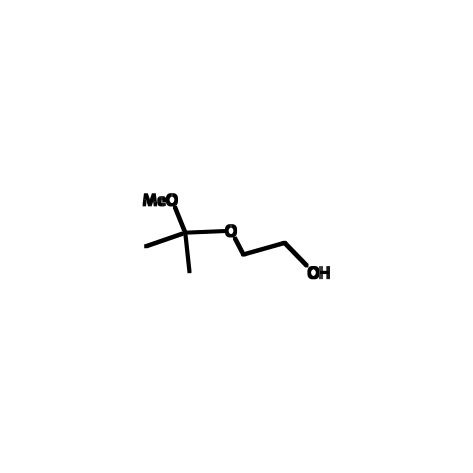 COC(C)(C)OCCO